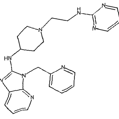 c1ccc(Cn2c(NC3CCN(CCNc4ncccn4)CC3)nc3cccnc32)nc1